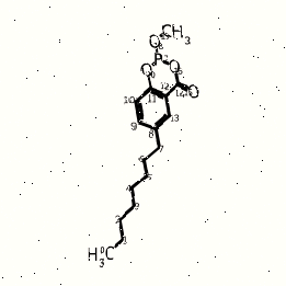 CCCCCCCCc1ccc2c(c1)C(=O)OP(OC)O2